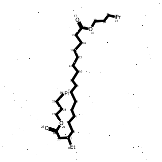 CCC(CCCCCCCCCCCCCCC(=O)OCCCC(C)C)CC(=O)OCCCC(C)C